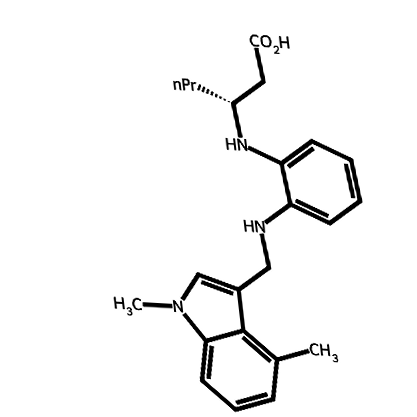 CCC[C@H](CC(=O)O)Nc1ccccc1NCc1cn(C)c2cccc(C)c12